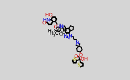 CC(C)(C)[Si](C)(C)O[C@@H](CNCc1cc2nnn(CCCN3CC4(CCC(OC(=O)C(O)(c5cccs5)c5cccs5)CC4)C3)c2c2c1CCC2)c1ccc(O)c2[nH]c(=O)ccc12